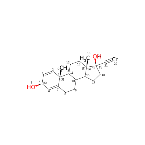 C[C@]12C=C[C@H](O)C=C1CCC1C2CC[C@@]2(C)C1CC[C@@]2(O)[C]#[Cr]